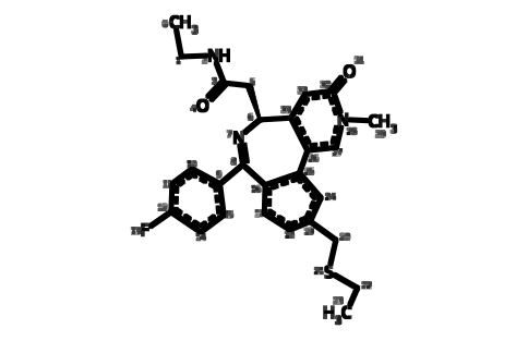 CCNC(=O)C[C@@H]1N=C(c2ccc(F)cc2)c2ccc(CSCC)cc2-c2cn(C)c(=O)cc21